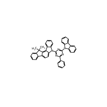 CC1(C)c2ccccc2-c2ccc3c(c21)c1ccccc1n3-c1nc(-c2ccccc2)nc(-n2c3ccccc3c3ccccc32)n1